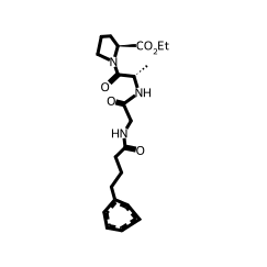 CCOC(=O)[C@@H]1CCCN1C(=O)[C@H](C)NC(=O)CNC(=O)CCCc1ccccc1